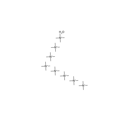 C[N+](C)(C)C.C[N+](C)(C)C.C[N+](C)(C)C.C[N+](C)(C)C.C[N+](C)(C)C.C[N+](C)(C)C.C[N+](C)(C)C.C[N+](C)(C)C.O